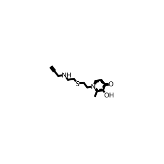 C#CCNCCSCCn1ccc(=O)c(O)c1C